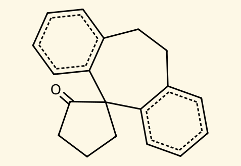 O=C1CCCC12c1ccccc1CCc1ccccc12